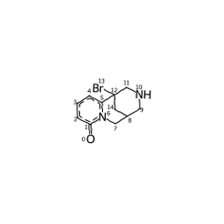 O=c1cccc2n1CC1CNCC2(Br)C1